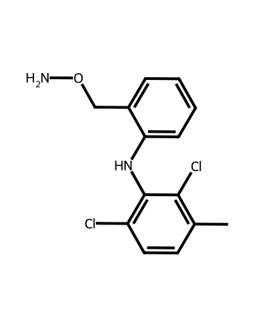 Cc1ccc(Cl)c(Nc2ccccc2CON)c1Cl